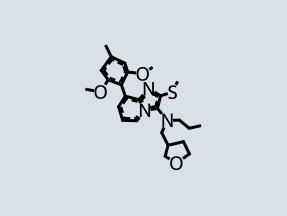 CCCN(CC1CCOC1)c1c(SC)nc2c(-c3c(OC)cc(C)cc3OC)cccn12